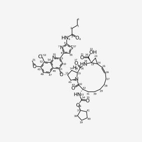 CCCC(=O)Nc1nc(-c2cc(O[C@@H]3C[C@H]4C(=O)N[C@]5(C(=O)O)CC5/C=C\CCCCC[C@H](NC(=O)OC5CCCC5)C(=O)N4C3)c3ccc(OC)c(Cl)c3n2)cs1